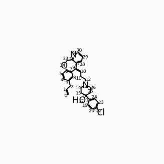 C=CCc1ccc2c(c1)C(=CCCN1CCC(O)(c3ccc(Cl)cc3)CC1)c1cccnc1CO2